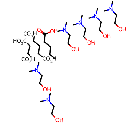 CCCCC(=O)O.CN(C)CCO.CN(C)CCO.CN(C)CCO.CN(C)CCO.CN(C)CCO.CN(C)CCO.O=C(O)CCC(=O)O.O=C(O)CCCC(=O)O